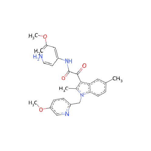 C=C(/C=C(\C=C/N)NC(=O)C(=O)c1c(C)n(Cc2ccc(OC)cn2)c2ccc(C)cc12)OC